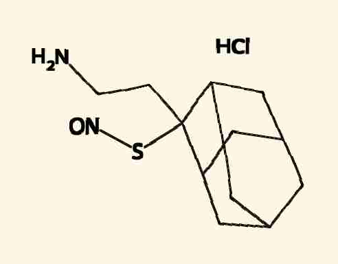 Cl.NCCC1(SN=O)C2CC3CC(C2)CC1C3